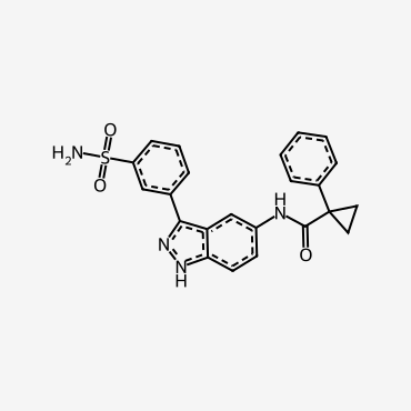 NS(=O)(=O)c1cccc(-c2n[nH]c3ccc(NC(=O)C4(c5ccccc5)CC4)cc23)c1